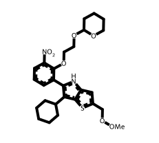 COOCc1cc2[nH]c(-c3cccc([N+](=O)[O-])c3OCCOC3CCCCO3)c(C3CCCCC3)c2s1